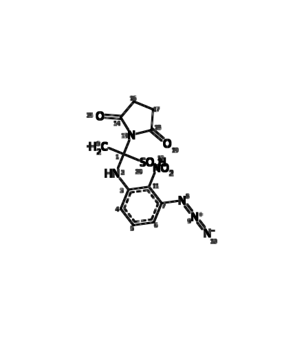 [CH2]C(Nc1cccc(N=[N+]=[N-])c1[N+](=O)[O-])(N1C(=O)CCC1=O)S(=O)(=O)O